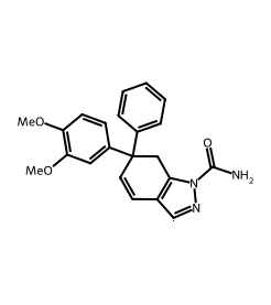 COc1ccc(C2(c3ccccc3)C=Cc3[c]nn(C(N)=O)c3C2)cc1OC